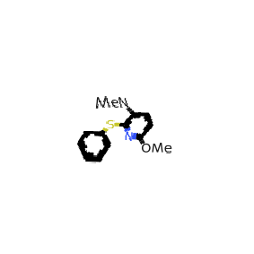 CNc1ccc(OC)nc1Sc1ccccc1